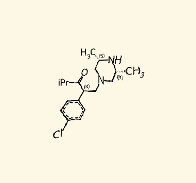 CC(C)C(=O)[C@@H](CN1C[C@@H](C)N[C@@H](C)C1)c1ccc(Cl)cc1